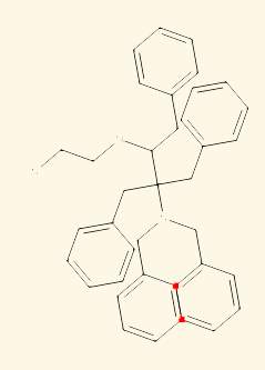 NCCNC(Cc1ccccc1)C(Cc1ccccc1)(Cc1ccccc1)N(Cc1ccccc1)Cc1ccccc1